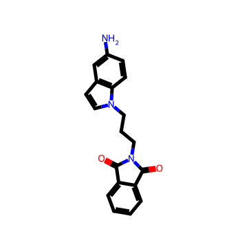 Nc1ccc2c(ccn2CCCN2C(=O)c3ccccc3C2=O)c1